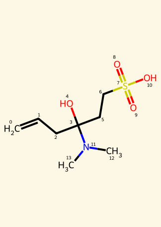 C=CCC(O)(CCS(=O)(=O)O)N(C)C